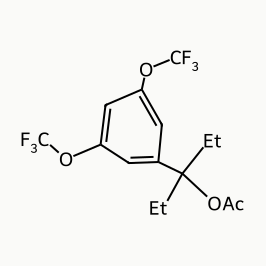 CCC(CC)(OC(C)=O)c1cc(OC(F)(F)F)cc(OC(F)(F)F)c1